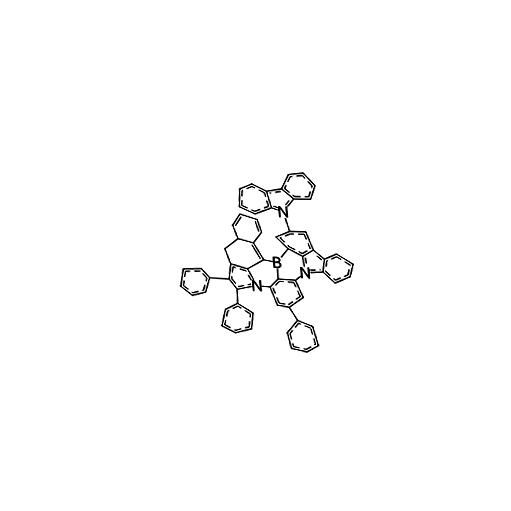 C1=CC2=C3B4c5c(cc(-c6ccccc6)cc5-n5c6ccccc6c6cc(-n7c8ccccc8c8ccccc87)cc4c65)-n4c3c(c(-c3ccccc3)c4-c3ccccc3)CC2C=C1